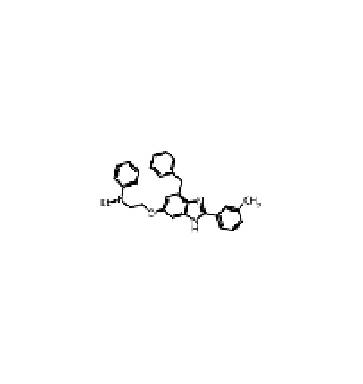 CCN(CCOc1cc(Cc2ccccc2)c2nc(-c3cccc(C)c3)[nH]c2c1)c1ccccc1